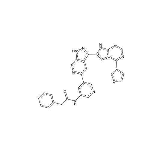 O=C(Cc1ccccc1)Nc1cncc(-c2cc3c(-c4cc5c(-c6ccoc6)nccc5[nH]4)n[nH]c3cn2)c1